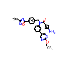 CC(C)(C)c1noc(C23CCC(CN(C(=O)C45CC(N)(C4)C5)c4cccc(-c5cnc(OCC(F)(F)F)nc5)c4)(CC2)CC3)n1